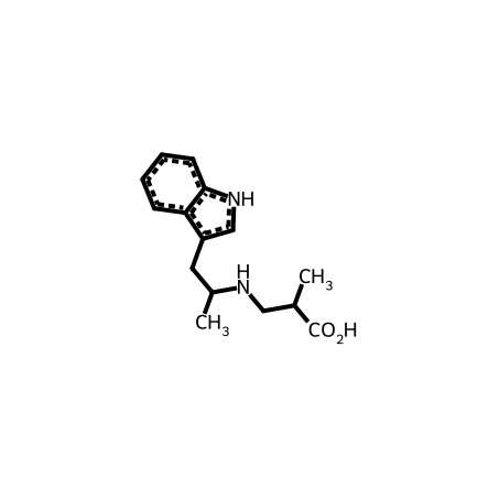 CC(Cc1c[nH]c2ccccc12)NCC(C)C(=O)O